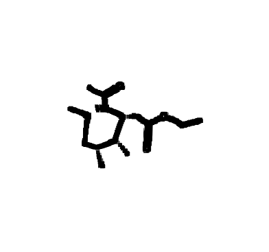 CCC[C@@H](C)[C@@H](C)[C@@H](CC(=O)OCC)NC(C)=O